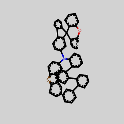 c1ccc(-c2ccccc2-c2ccccc2-c2ccccc2N(c2ccc3c(c2)C2(c4ccccc4Oc4ccccc42)c2ccccc2-3)c2ccc3sc4ccccc4c3c2)cc1